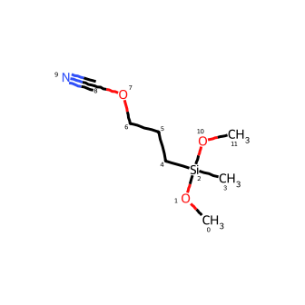 CO[Si](C)(CCCOC#N)OC